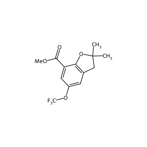 COC(=O)c1cc(OC(F)(F)F)cc2c1OC(C)(C)C2